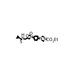 CCOC(=O)N1CCN(c2ccc(N3CC(CNC(=S)C4CC4)OC3=O)cc2)CC1